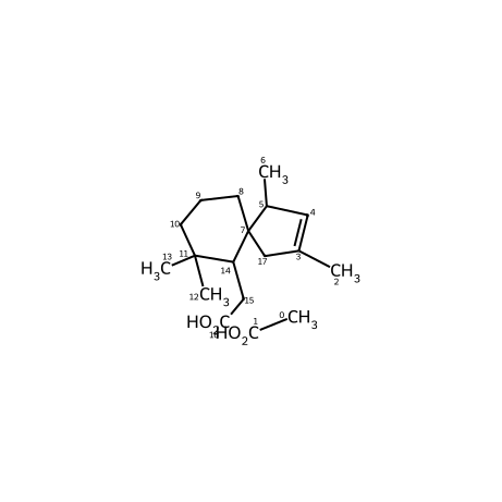 CC(=O)O.CC1=CC(C)C2(CCCC(C)(C)C2CC(=O)O)C1